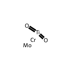 [Cr].[Mo].[O]=[Ti]=[O]